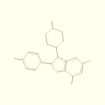 O=C(O)C1CCC(c2c(-c3ccc(F)cc3)[nH]c3c(F)cc(F)cc23)CC1